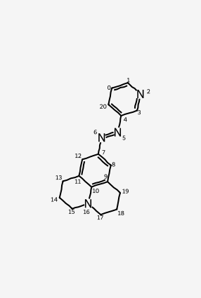 c1cncc(/N=N/c2cc3c4c(c2)CCCN4CCC3)c1